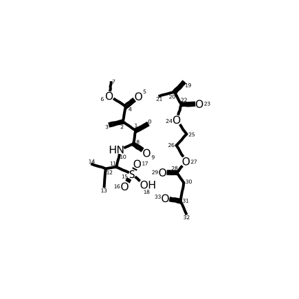 C=C(C(=C)C(=O)OC)C(=O)NC(C(C)C)S(=O)(=O)O.C=C(C)C(=O)OCCOC(=O)CC(C)=O